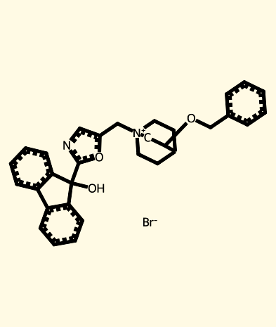 OC1(c2ncc(C[N+]34CCC(CC3)C(OCc3ccccc3)C4)o2)c2ccccc2-c2ccccc21.[Br-]